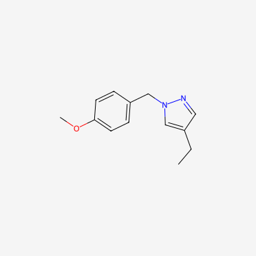 CCc1cnn(Cc2ccc(OC)cc2)c1